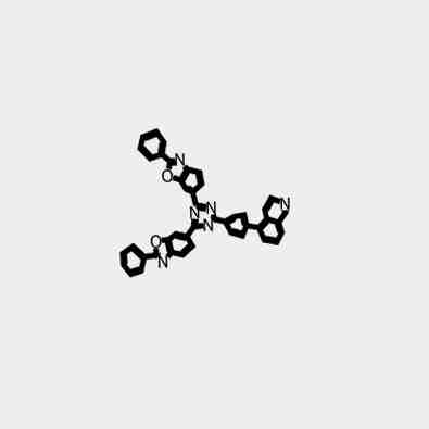 c1ccc(-c2nc3ccc(-c4nc(-c5ccc(-c6cccc7cnccc67)cc5)nc(-c5ccc6nc(-c7ccccc7)oc6c5)n4)cc3o2)cc1